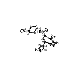 O=C(NCc1ccc(Cl)cc1)c1cc(-c2cn[nH]c2)n[nH]c1=O